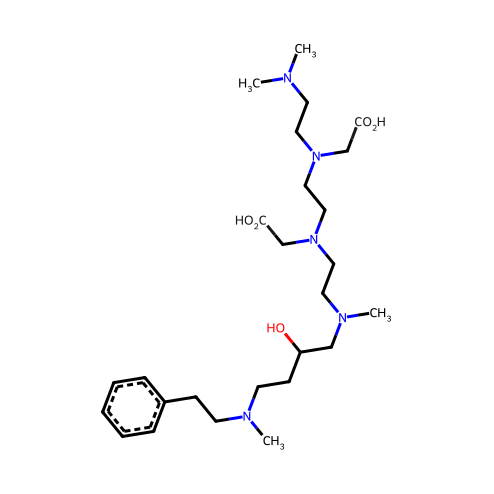 CN(C)CCN(CCN(CCN(C)CC(O)CCN(C)CCc1ccccc1)CC(=O)O)CC(=O)O